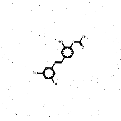 CC(=O)Oc1ccc(/C=C/c2cc(O)cc(O)c2)cc1O